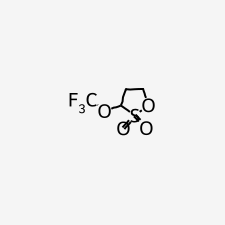 O=S1(=O)OCCC1OC(F)(F)F